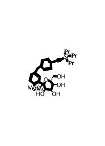 COc1ccc(Cc2ccc(C#C[Si](C(C)C)(C(C)C)C(C)C)cc2)cc1[C@]1(OC)O[C@H](CO)[C@@H](O)[C@H](O)[C@H]1O